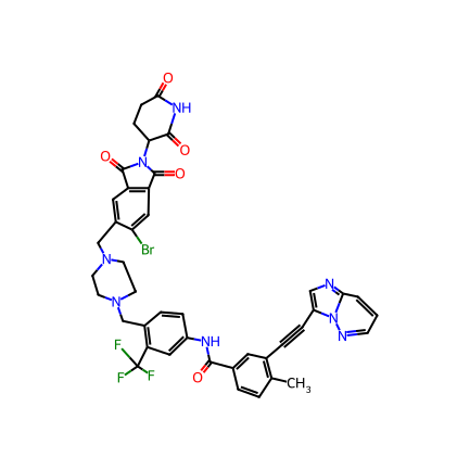 Cc1ccc(C(=O)Nc2ccc(CN3CCN(Cc4cc5c(cc4Br)C(=O)N(C4CCC(=O)NC4=O)C5=O)CC3)c(C(F)(F)F)c2)cc1C#Cc1cnc2cccnn12